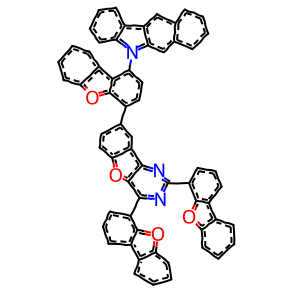 c1ccc2cc3c(cc2c1)c1ccccc1n3-c1ccc(-c2ccc3oc4c(-c5cccc6c5oc5ccccc56)nc(-c5cccc6c5oc5ccccc56)nc4c3c2)c2oc3ccccc3c12